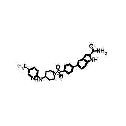 NC(=O)c1cc2cc(-c3ccc(S(=O)(=O)N4CCC(Nc5ccc(C(F)(F)F)cn5)CC4)cc3)ccc2[nH]1